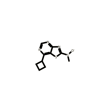 C[S+]([O-])c1nc2ncnc(C3CCC3)c2s1